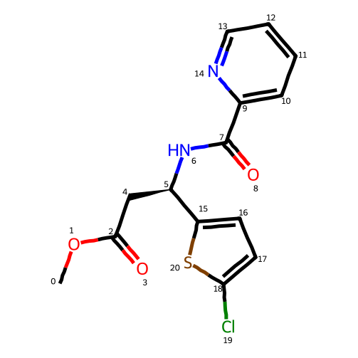 COC(=O)C[C@@H](NC(=O)c1ccccn1)c1ccc(Cl)s1